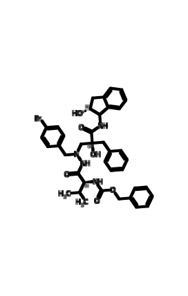 CC(C)[C@H](NC(=O)OCc1ccccc1)C(=O)NN(Cc1ccc(Br)cc1)C[C@@](O)(Cc1ccccc1)C(=O)NC1c2ccccc2C[C@H]1O